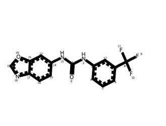 O=C(Nc1cccc(C(F)(F)F)c1)Nc1ccc2ncoc2c1